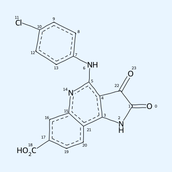 O=C1Nc2c(c(Nc3ccc(Cl)cc3)nc3cc(C(=O)O)ccc23)C1=O